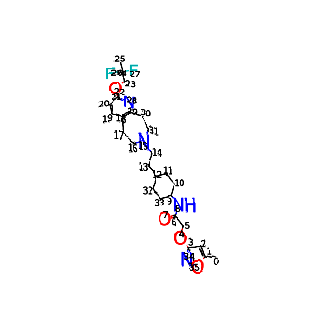 Cc1cc(OCC(=O)NC2CCC(CCN3CCc4ccc(OCC(C)(F)F)nc4CC3)CC2)no1